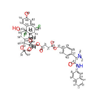 CN(C)C(C(=O)Nc1ccc2ccccc2c1)c1ccc(COC(=O)CCC(=O)OCC(=O)[C@@]23OC(C)(C)O[C@@H]2C[C@H]2[C@@H]4C[C@H](F)C5=CC(=O)C=C[C@]5(C)[C@@]4(F)[C@@H](O)C[C@@]23C)cc1